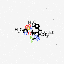 CCOC(=O)CC(c1ccc(C)c(CN2CC3(CC3)Oc3ncc(C)cc3S2(=O)=O)c1)c1ccn2c(C(F)F)nnc2c1C